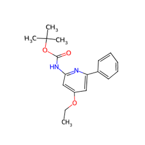 CCOc1cc(NC(=O)OC(C)(C)C)nc(-c2ccccc2)c1